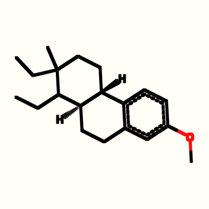 CCC1[C@@H]2CCc3cc(OC)ccc3[C@H]2CCC1(C)CC